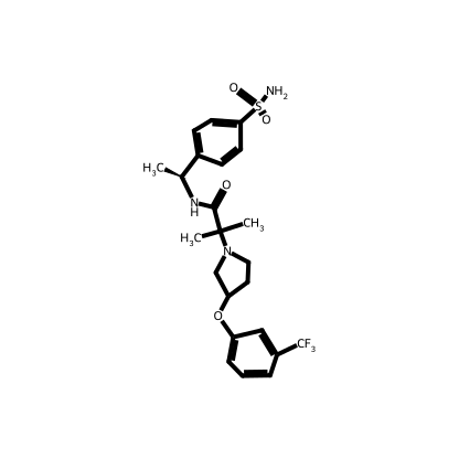 C[C@H](NC(=O)C(C)(C)N1CCC(Oc2cccc(C(F)(F)F)c2)C1)c1ccc(S(N)(=O)=O)cc1